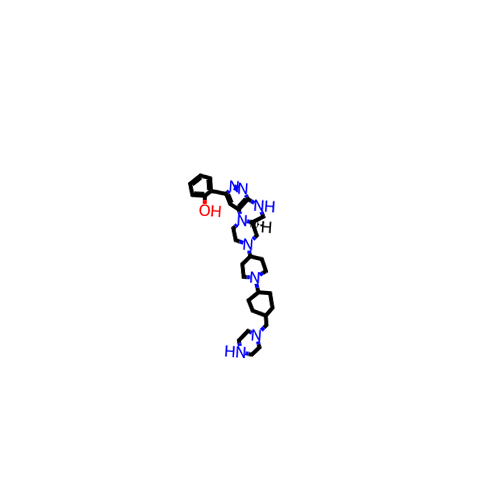 Oc1ccccc1-c1cc2c(nn1)NC[C@H]1CN(C3CCN(C4CCC(CN5CCNCC5)CC4)CC3)CCN21